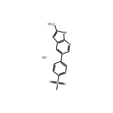 CS(=O)(=O)c1ccc(-c2cnc3[nH]c(C(=O)O)cc3c2)cc1.Cl